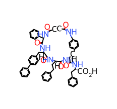 O=C1CCC(=O)NC(c2ccccc2)C(=O)N[C@@H](Cc2ccc(-c3ccccc3)cc2)C(=O)N[C@H](CCc2ccccc2)C(=O)N[C@H](C(=O)N[C@@H](Cc2ccccc2)C(=O)O)Cc2ccc(cc2)N1